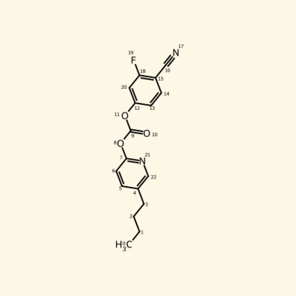 CCCCc1ccc(OC(=O)Oc2ccc(C#N)c(F)c2)nc1